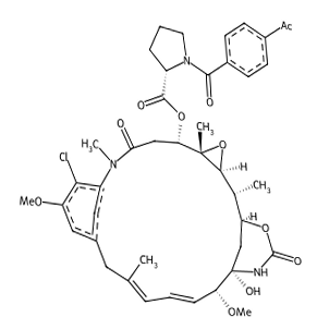 COc1cc2cc(c1Cl)N(C)C(=O)C[C@H](OC(=O)[C@@H]1CCCN1C(=O)c1ccc(C(C)=O)cc1)[C@]1(C)O[C@H]1[C@H](C)[C@@H]1C[C@@](O)(NC(=O)O1)[C@H](OC)/C=C/C=C(\C)C2